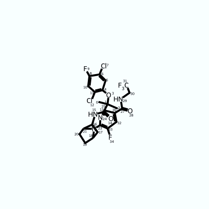 CC(C)(Oc1cc(Cl)c(F)cc1Cl)C(=O)NC1CC2CCC1N2c1ncc(C(=O)NCC(F)(F)F)cc1F